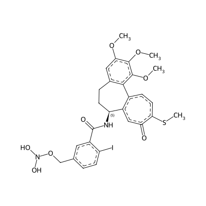 COc1cc2c(c(OC)c1OC)-c1ccc(SC)c(=O)cc1[C@@H](NC(=O)c1cc(CON(O)O)ccc1I)CC2